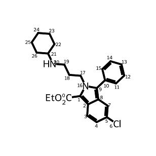 CCOC(=O)c1c2ccc(Cl)cc2c(-c2ccccc2)n1CCCNC1CCCCC1